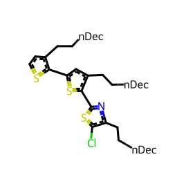 CCCCCCCCCCCCc1ccsc1-c1cc(CCCCCCCCCCCC)c(-c2nc(CCCCCCCCCCCC)c(Cl)s2)s1